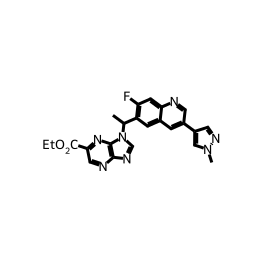 CCOC(=O)c1cnc2ncn(C(C)c3cc4cc(-c5cnn(C)c5)cnc4cc3F)c2n1